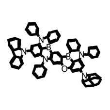 c1ccc(N2c3ccccc3B3c4cc5c(cc4Oc4cc(N6C7CC8CC(C7)CC6C8)cc2c43)N(c2ccccc2)c2cc(-n3c4ccccc4c4ccccc43)cc3c2B5c2ccccc2N3c2ccccc2)cc1